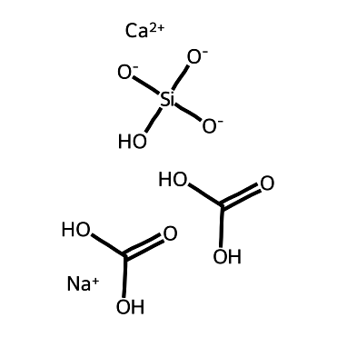 O=C(O)O.O=C(O)O.[Ca+2].[Na+].[O-][Si]([O-])([O-])O